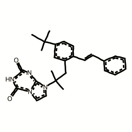 CC(C)(C)c1ccc(/C=C/c2ccccc2)c(CC(C)(C)n2ccn3c(=O)[nH]c(=O)nc23)c1